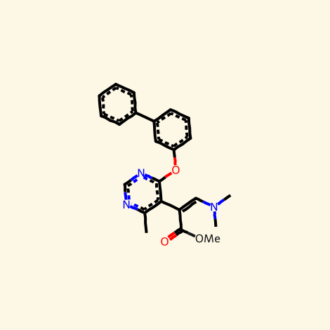 COC(=O)/C(=C\N(C)C)c1c(C)ncnc1Oc1cccc(-c2ccccc2)c1